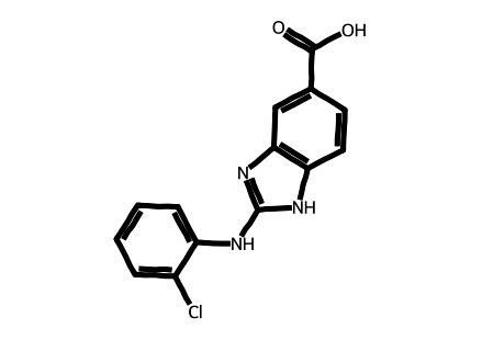 O=C(O)c1ccc2[nH]c(Nc3ccccc3Cl)nc2c1